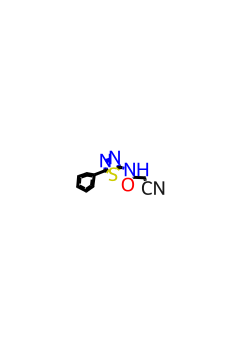 N#CCC(=O)Nc1nnc(-c2ccccc2)s1